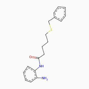 Nc1ccccc1NC(=O)CCCCSCc1ccccc1